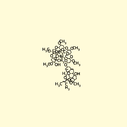 C/C=C(\C)C(=O)OC1CC2C(CC=C3CC(O[C@H]4C[C@@H](OC)[C@H](O[C@H]5C[C@@H](OC)[C@H](O[C@H]6C[C@@H](OC)[C@H](O[C@H]7C[C@@H](OC)[C@H](O[C@H]8C[C@@H](OC)[C@H](O)C(C)O8)C(C)O7)C(C)O6)C(C)O5)C(C)O4)CCC32C)C2(O)CCC(C(C)=O)C12C